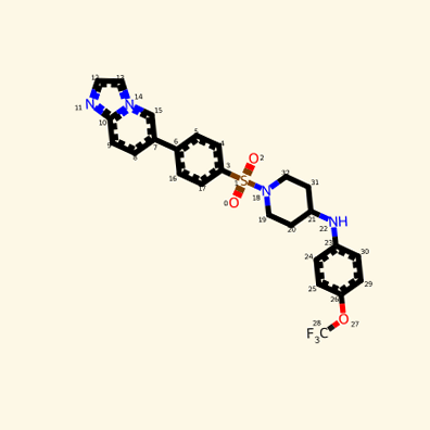 O=S(=O)(c1ccc(-c2ccc3nccn3c2)cc1)N1CCC(Nc2ccc(OC(F)(F)F)cc2)CC1